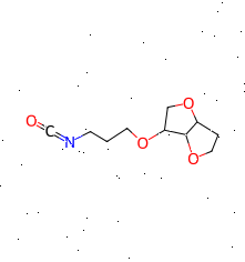 O=C=NCCCOC1COC2CCOC21